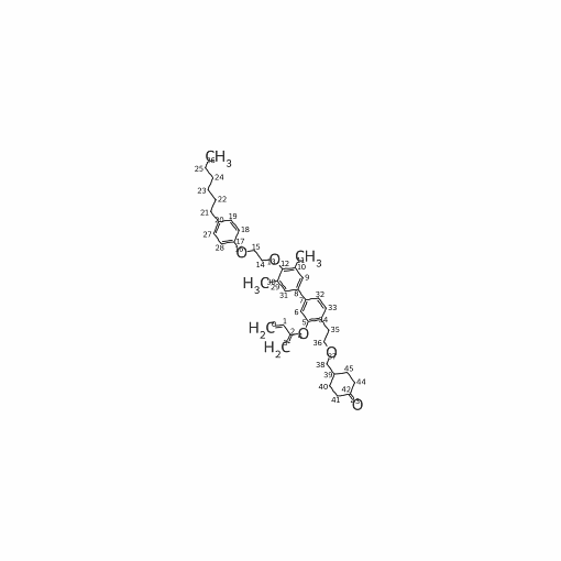 C=CC(=C)Oc1cc(-c2cc(C)c(OCCOc3ccc(CCCCCC)cc3)c(C)c2)ccc1CCOCC1CCC(=O)CC1